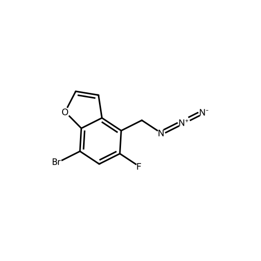 [N-]=[N+]=NCc1c(F)cc(Br)c2occc12